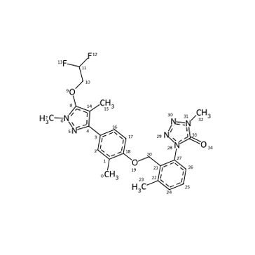 Cc1cc(-c2nn(C)c(OCC(F)F)c2C)ccc1OCc1c(C)cccc1-n1nnn(C)c1=O